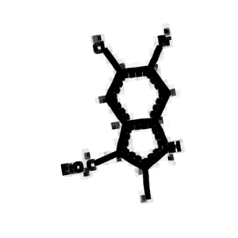 CCOC(=O)c1c(C)[nH]c2cc(Br)c(Cl)cc12